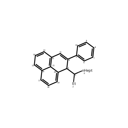 CCCCCCCC(CC)C1C(c2ccccc2)=Cc2cccc3cccc1c23